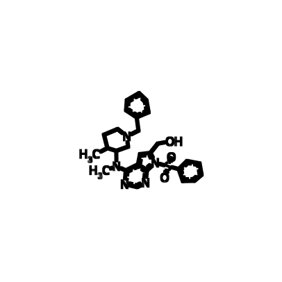 CC1CCN(Cc2ccccc2)CC1N(C)c1ncnc2c1cc(CO)n2S(=O)(=O)c1ccccc1